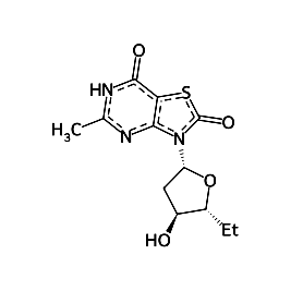 CC[C@H]1O[C@@H](n2c(=O)sc3c(=O)[nH]c(C)nc32)C[C@@H]1O